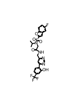 CC(C)N(CC(=O)NCc1cc(-c2ccc(C(F)(F)F)cc2O)ncn1)S(=O)(=O)c1cc2cc(F)ccc2o1